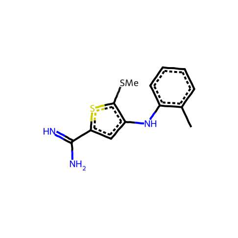 CSc1sc(C(=N)N)cc1Nc1ccccc1C